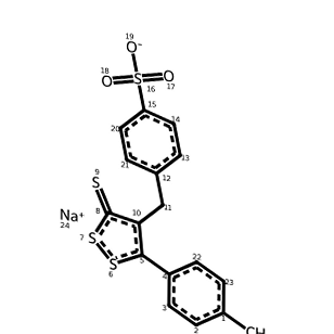 Cc1ccc(-c2ssc(=S)c2Cc2ccc(S(=O)(=O)[O-])cc2)cc1.[Na+]